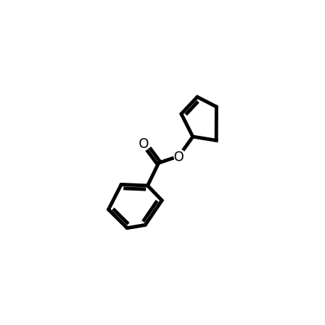 O=C(OC1C=CCC1)c1ccccc1